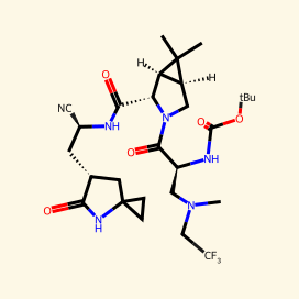 CN(C[C@H](NC(=O)OC(C)(C)C)C(=O)N1C[C@H]2[C@@H]([C@H]1C(=O)N[C@H](C#N)C[C@@H]1CC3(CC3)NC1=O)C2(C)C)CC(F)(F)F